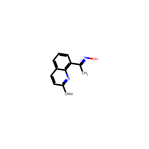 COc1ccc2cccc(/C(C)=N/O)c2n1